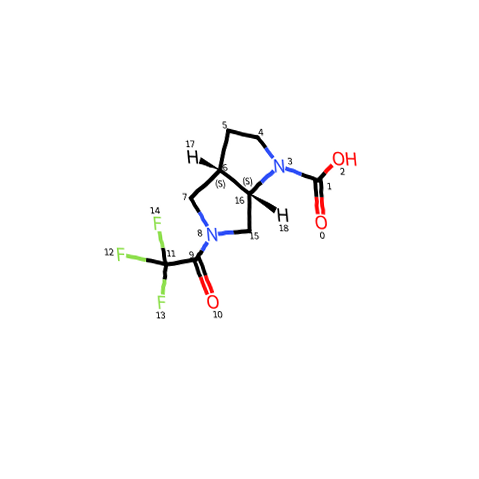 O=C(O)N1CC[C@H]2CN(C(=O)C(F)(F)F)C[C@H]21